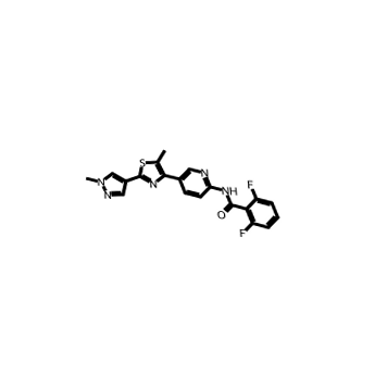 Cc1sc(-c2cnn(C)c2)nc1-c1ccc(NC(=O)c2c(F)cccc2F)nc1